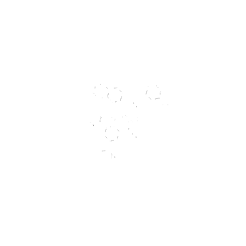 CCCN(CCC)C(=O)c1cc(C(N)=O)cc(C(N)=O)c1[C@H](Cc1cccc2ccccc12)[C@@H](O)CNCc1cccc(OC)c1